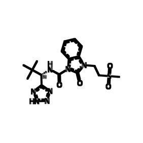 CC(C)(C)[C@H](NC(=O)n1c(=O)n(CCS(C)(=O)=O)c2ccccc21)c1nn[nH]n1